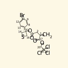 C=C(CC(=O)OC1(c2ccc(Br)cc2)CSC1)C(=O)OCC(Cl)(Cl)Cl